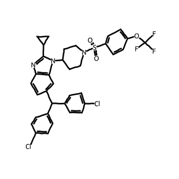 O=S(=O)(c1ccc(OC(F)(F)F)cc1)N1CCC(n2c(C3CC3)nc3ccc(C(c4ccc(Cl)cc4)c4ccc(Cl)cc4)cc32)CC1